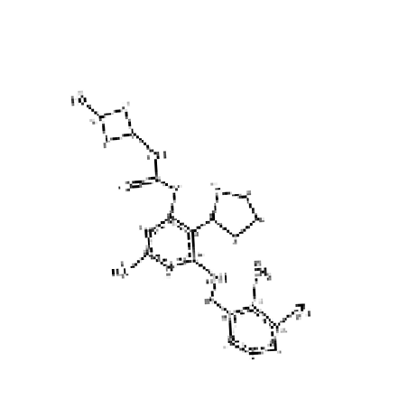 Cc1nc(CC(=O)NC2CC(O)C2)c(C2CCCO2)c(NCc2cccc(C(F)(F)F)c2C)n1